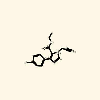 CCOC(=O)c1c(-c2ccc(F)cc2)ccn1CC#N